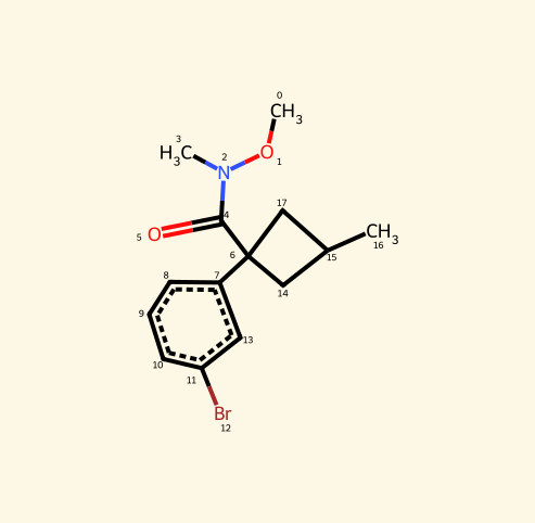 CON(C)C(=O)C1(c2cccc(Br)c2)CC(C)C1